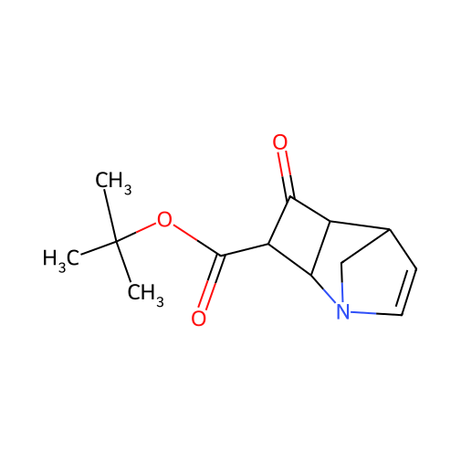 CC(C)(C)OC(=O)C1C(=O)C2C3C=CN(C3)C12